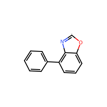 [c]1nc2c(-c3ccccc3)cccc2o1